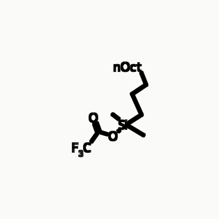 CCCCCCCCCCC[Si](C)(C)OC(=O)C(F)(F)F